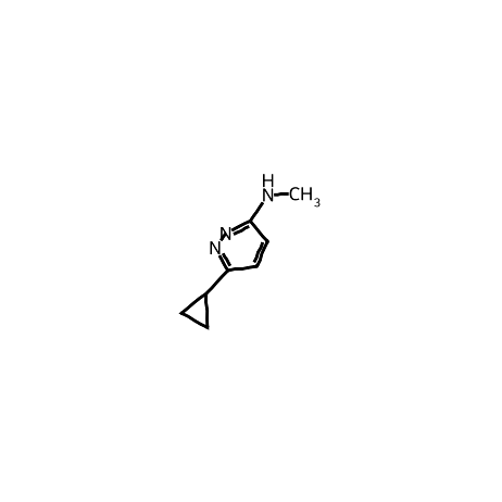 CNc1ccc(C2CC2)nn1